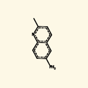 Cc1ccc2cc(P)ccc2n1